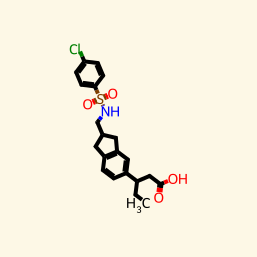 CCC(CC(=O)O)c1ccc2c(c1)CC(CNS(=O)(=O)c1ccc(Cl)cc1)C2